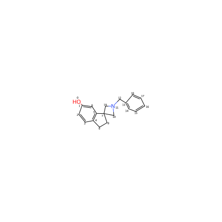 Oc1ccc2c(c1)C1(CC2)CN(Cc2ccccc2)C1